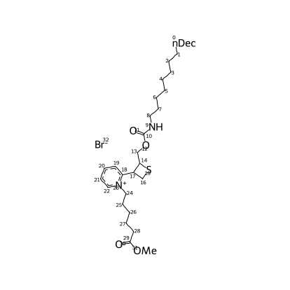 CCCCCCCCCCCCCCCCCCNC(=O)OCC1SCC1c1cccc[n+]1CCCCCC(=O)OC.[Br-]